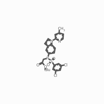 Cc1ccnc(-n2ccc3cc(N(CC(=O)OC(C)(C)C)S(=O)(=O)c4cc(Cl)cc(Cl)c4)ccc32)c1